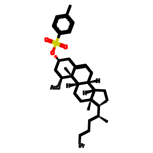 CC(=O)O[C@H]1C[C@H](OS(=O)(=O)c2ccc(C)cc2)CC2=CC[C@H]3[C@@H]4CC[C@H]([C@H](C)CCCC(C)C)[C@@]4(C)CC[C@@H]3[C@]21C